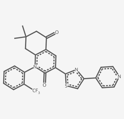 CC1(C)CC(=O)c2cc(-c3nc(-c4ccncc4)cs3)c(=O)n(-c3ccccc3C(F)(F)F)c2C1